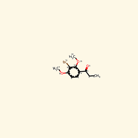 CCC(=O)c1ccc(OC)c(Br)c1OC